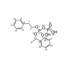 CC(OP(=O)(OCCc1ccccc1)OP(=O)(O)O)c1ccccc1